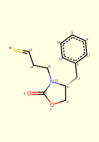 O=C1OC[C@@H](Cc2ccccc2)N1CCC=S